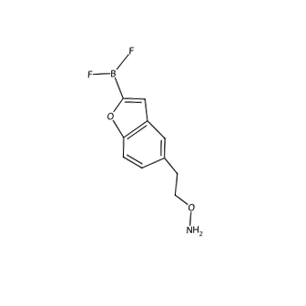 NOCCc1ccc2oc(B(F)F)cc2c1